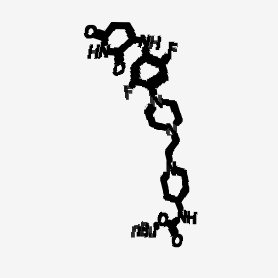 CCCCOC(=O)NC1CCN(CCN2CCN(c3cc(F)c(NC4CCC(=O)NC4=O)cc3F)CC2)CC1